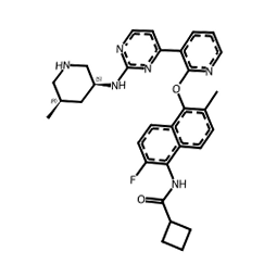 Cc1ccc2c(NC(=O)C3CCC3)c(F)ccc2c1Oc1ncccc1-c1ccnc(N[C@@H]2CNC[C@H](C)C2)n1